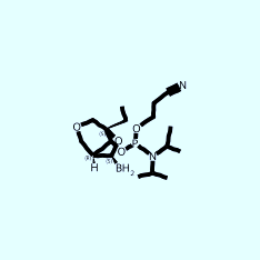 B[C@@H]1O[C@@]2(CC)COC[C@H]1C2OP(OCCC#N)N(C(C)C)C(C)C